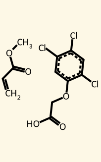 C=CC(=O)OC.O=C(O)COc1cc(Cl)c(Cl)cc1Cl